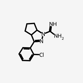 N=C(N)N1N=C(c2ccccc2Cl)C2CCCC21